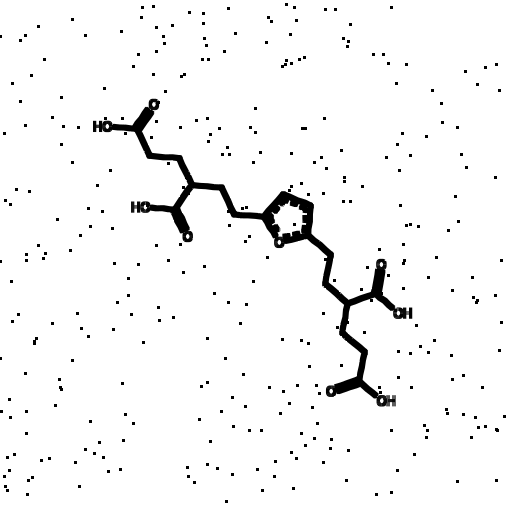 O=C(O)CCC(CCc1ccc(CCC(CCC(=O)O)C(=O)O)o1)C(=O)O